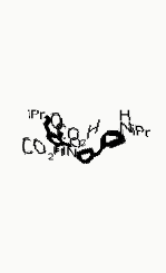 CC(C)Nc1ccc(Cc2ccc(NC(=O)C3C(C(=O)O)CC(CC(=O)C(C)C)C3C(=O)O)cc2)cc1